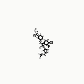 CCOC(=O)c1cccc(Sc2c(C)n(-c3cnn(CC4CC4)c3)c3c(F)c(Cl)ccc23)c1